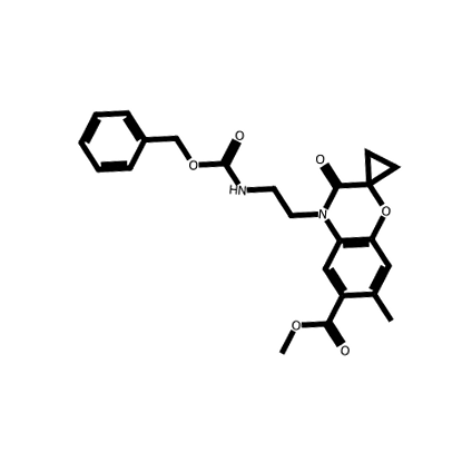 COC(=O)c1cc2c(cc1C)OC1(CC1)C(=O)N2CCNC(=O)OCc1ccccc1